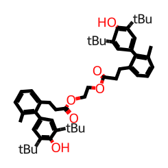 Cc1cccc(CCC(=O)OCCOC(=O)CCc2cccc(C)c2-c2cc(C(C)(C)C)c(O)c(C(C)(C)C)c2)c1-c1cc(C(C)(C)C)c(O)c(C(C)(C)C)c1